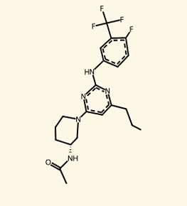 CCCc1cc(N2CCC[C@@H](NC(C)=O)C2)nc(Nc2ccc(F)c(C(F)(F)F)c2)n1